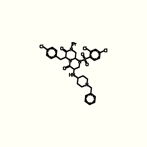 CC(C)N1CC2N(C(=O)C(NC3CCN(Cc4ccccc4)CC3)CN2S(=O)(=O)c2ccc(Cl)cc2Cl)C(Cc2ccc(Cl)cc2)C1=O